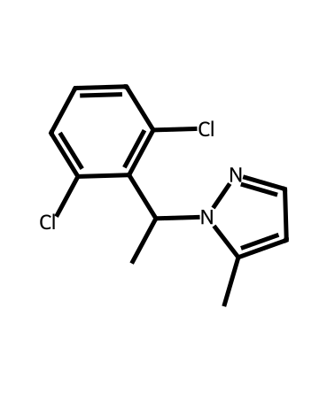 Cc1ccnn1C(C)c1c(Cl)cccc1Cl